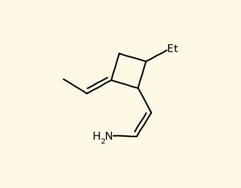 C/C=C1\CC(CC)C1/C=C\N